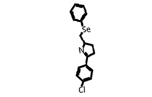 Clc1ccc(C2=NC(C[Se]c3ccccc3)CC2)cc1